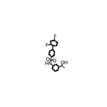 C[C@H](O)c1cccc(NS(=O)(=O)c2ccc(-c3ccc(F)cc3F)cc2)c1